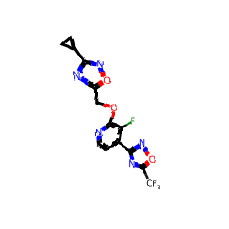 Fc1c(-c2noc(C(F)(F)F)n2)ccnc1OCc1nc(C2CC2)no1